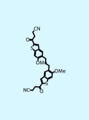 COc1cc2sc(C(=O)CCC#N)cc2cc1CCCc1cc2cc(C(=O)CCC#N)sc2cc1OC